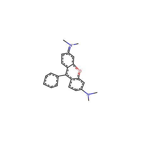 CN(C)c1ccc2c(-c3ccccc3)c3ccc(=[N+](C)C)cc-3oc2c1